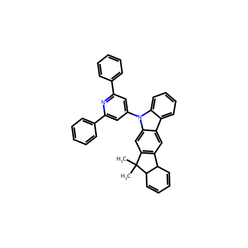 CC1(C)c2cc3c(cc2C2C=CC=CC21)c1ccccc1n3-c1cc(-c2ccccc2)nc(-c2ccccc2)c1